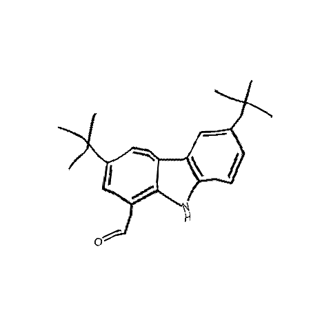 CC(C)(C)c1ccc2[nH]c3c(C=O)cc(C(C)(C)C)cc3c2c1